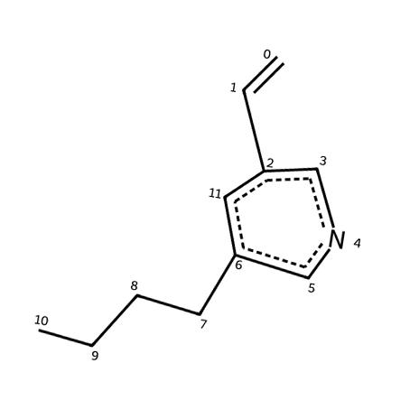 C=Cc1cncc(CCCC)c1